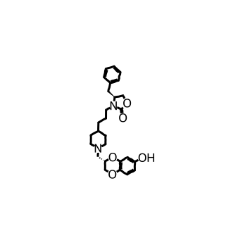 O=C1OC[C@H](Cc2ccccc2)N1CCCC1CCN(C[C@H]2COc3ccc(O)cc3O2)CC1